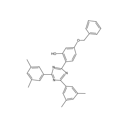 Cc1cc(C)cc(-c2nc(-c3cc(C)cc(C)c3)nc(-c3ccc(OCc4ccccc4)cc3O)n2)c1